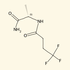 C[C@H](NC(=O)CCC(F)(F)F)C(N)=O